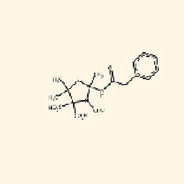 CC1(NC(=O)Cc2ccccc2)SC(C)(C)C(C(=O)O)(C(=O)O)N1C=O